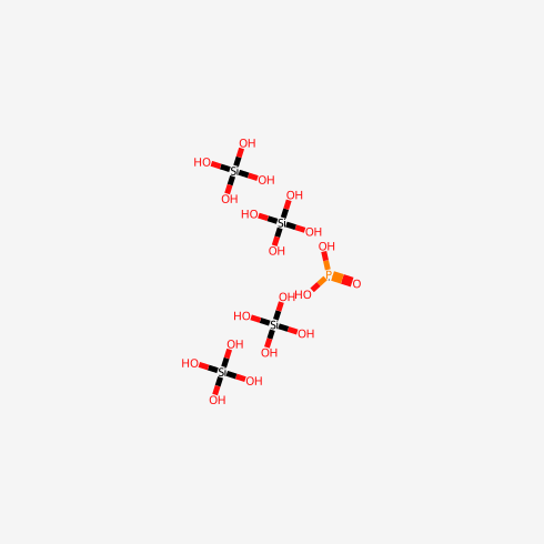 O=[P](O)O.O[Si](O)(O)O.O[Si](O)(O)O.O[Si](O)(O)O.O[Si](O)(O)O